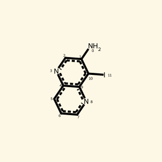 Nc1cnc2cccnc2c1I